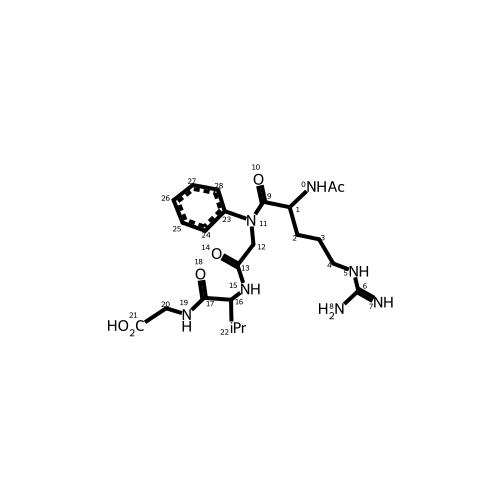 CC(=O)NC(CCCNC(=N)N)C(=O)N(CC(=O)NC(C(=O)NCC(=O)O)C(C)C)c1ccccc1